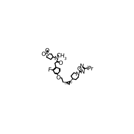 CC(C)c1noc(N2CCC([C@H]3C[C@H]3CCOc3ccc(CC(=O)N(C)C4CCS(=O)(=O)C4)c(F)c3)CC2)n1